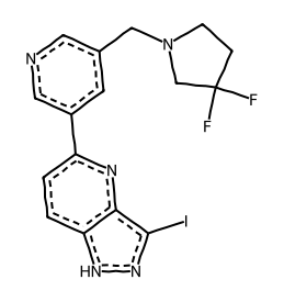 FC1(F)CCN(Cc2cncc(-c3ccc4[nH]nc(I)c4n3)c2)C1